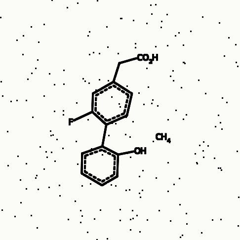 C.O=C(O)Cc1ccc(-c2ccccc2O)c(F)c1